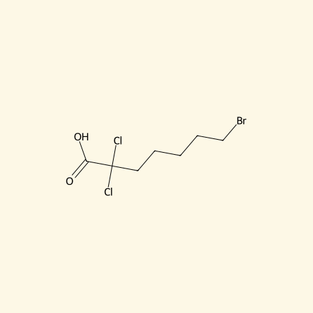 O=C(O)C(Cl)(Cl)CCCCCBr